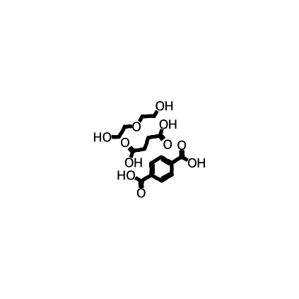 O=C(O)CCC(=O)O.O=C(O)c1ccc(C(=O)O)cc1.OCCOCCO